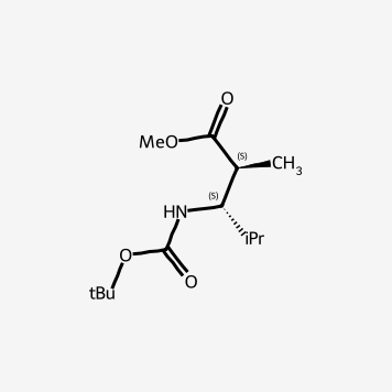 COC(=O)[C@@H](C)[C@@H](NC(=O)OC(C)(C)C)C(C)C